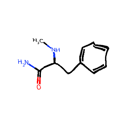 CNC(Cc1ccccc1)C(N)=O